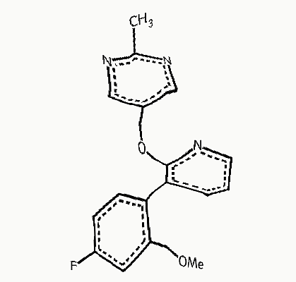 COc1cc(F)ccc1-c1cccnc1Oc1cnc(C)nc1